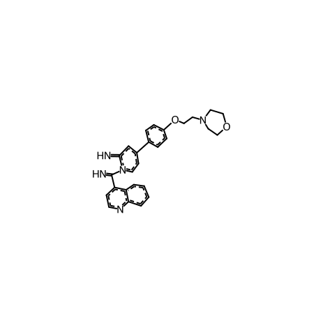 N=C(c1ccnc2ccccc12)n1ccc(-c2ccc(OCCN3CCOCC3)cc2)cc1=N